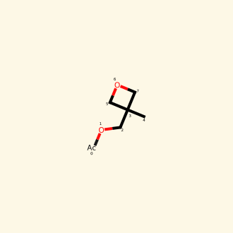 CC(=O)OCC1(C)COC1